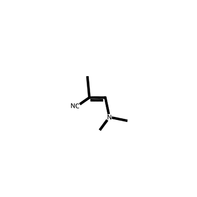 C/C(C#N)=C/N(C)C